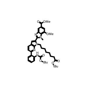 COC(=O)c1cc(OC)c2c(c1)nc(-c1cc3ccc(-c4ccccc4NC(=O)OC(C)(C)C)nc3n1CCCCCCCC(=O)OC(C)(C)C)n2C